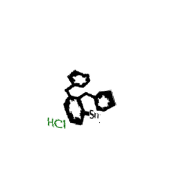 Cl.[Sn][c]1cccc(Cc2ccccc2)c1Cc1ccccc1